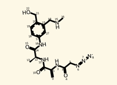 C=C(NC(=O)CN=[N+]=[N-])C(=O)N[C@@H](C)C(=O)Nc1ccc(CO)c(CNC)c1